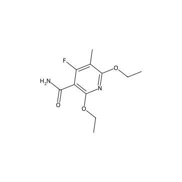 CCOc1nc(OCC)c(C(N)=O)c(F)c1C